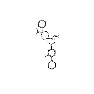 Cc1cc(N(C)C[C@]2(NC=O)CC[C@@](c3ccccc3)(N(C)C)CC2)cnc1N1CCOCC1